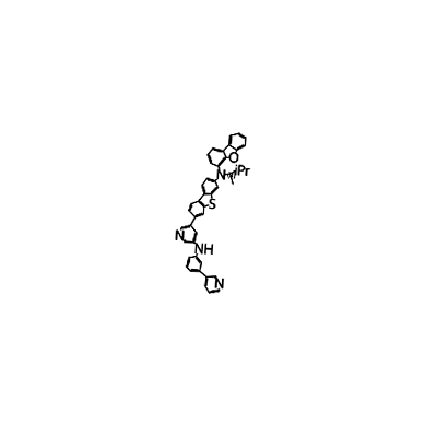 CC(C)[C@@H](C)N(c1ccc2c(c1)sc1cc(-c3cncc(Nc4cccc(-c5cccnc5)c4)c3)ccc12)c1cccc2c1oc1ccccc12